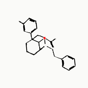 CCC(=O)OC1C2CCCC1(c1cccc(O)c1)CCN2CCc1ccccc1